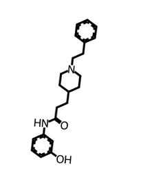 O=C(CCC1CCN(CCc2ccccc2)CC1)Nc1cccc(O)c1